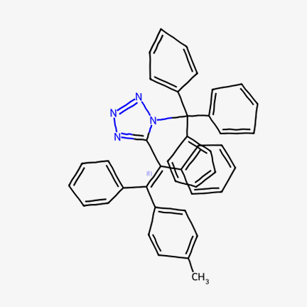 Cc1ccc(/C(=C(\c2ccccc2)c2nnnn2C(c2ccccc2)(c2ccccc2)c2ccccc2)c2ccccc2)cc1